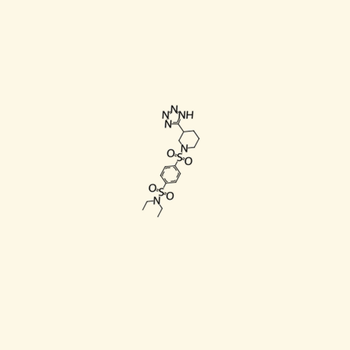 CCN(CC)S(=O)(=O)c1ccc(S(=O)(=O)N2CCCC(c3nnn[nH]3)C2)cc1